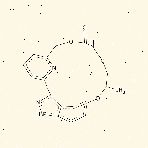 CC1CCNC(=O)OCc2cccc(n2)-c2n[nH]c3ccc(cc23)O1